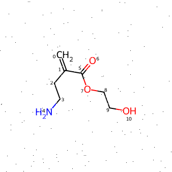 C=C(CCN)C(=O)OCCO